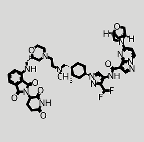 CN(CCN1CCO[C@@H](CNc2cccc3c2C(=O)N(C2CCC(=O)NC2=O)C3=O)C1)C[C@H]1CC[C@H](n2cc(NC(=O)c3cnn4ccc(N5C[C@H]6C[C@@H]5CO6)nc34)c(C(F)F)n2)CC1